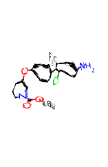 CC(C)(C)OC(=O)N1CCCC(Oc2ccc(-c3c(Cl)cc(N)cc3C(F)(F)F)cc2)C1